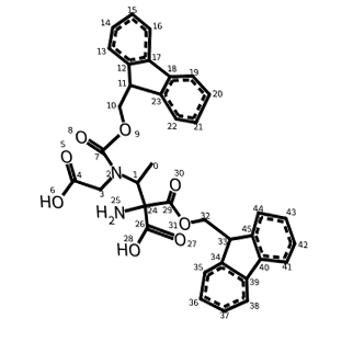 CC(N(CC(=O)O)C(=O)OCC1c2ccccc2-c2ccccc21)C(N)(C(=O)O)C(=O)OCC1c2ccccc2-c2ccccc21